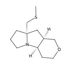 CSC[C@@]12CCCN1[C@@H]1CCOC[C@@H]1C2